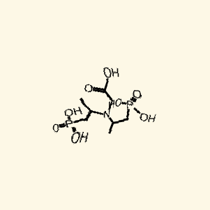 CC(CP(=O)(O)O)N(CC(=O)O)C(C)CP(=O)(O)O